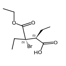 CCOC(=O)[C@](Br)(CC)[C@@H](CC)C(=O)O